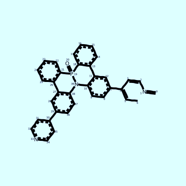 C=N/C=C\C(=C/C)c1ccc2c(c1)-c1ccccc1P1(=O)c3ccccc3-c3cc(-c4ccncc4)ccc3N21